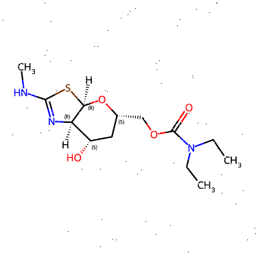 CCN(CC)C(=O)OC[C@@H]1C[C@H](O)[C@H]2N=C(NC)S[C@H]2O1